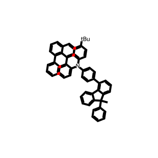 CC(C)(C)c1ccc(N(c2ccc(-c3cccc4c3-c3ccccc3C4(C)c3ccccc3)cc2)c2ccccc2-c2cccc3cccc(-c4ccccc4)c23)cc1